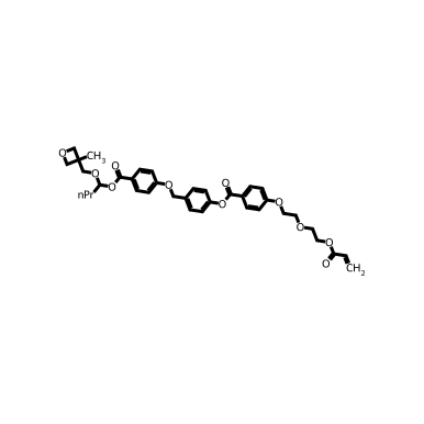 C=CC(=O)OCCOCCOc1ccc(C(=O)Oc2ccc(COc3ccc(C(=O)OC(CCC)OCC4(C)COC4)cc3)cc2)cc1